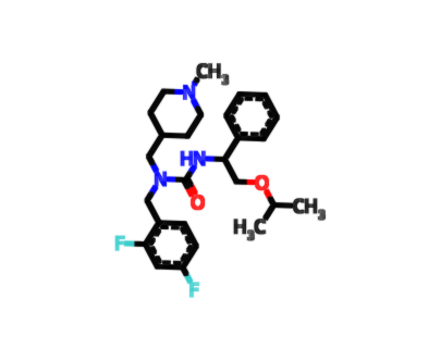 CC(C)OCC(NC(=O)N(Cc1ccc(F)cc1F)CC1CCN(C)CC1)c1ccccc1